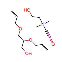 C=CCOCC(CO)OCC=C.C[N+](C)(C#P=O)CCO